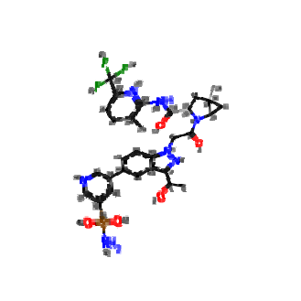 CC(=O)c1nn(CC(=O)N2C3C[C@]3(C)C[C@H]2C(=O)Nc2nc(C(F)(F)F)ccc2C)c2ccc(-c3cncc(S(N)(=O)=O)c3)cc12